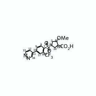 CO[C@H]1C[C@@H](S(=O)(=O)c2ccc(-c3ccnnc3)cc2C(F)(F)F)C[C@@H]1C(=O)O